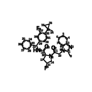 Cc1nc2ccccc2n1CC(=O)N1CC(F)CC1C(=O)NC(c1ccccc1)c1ccc(C2(C)CC2)c(F)c1